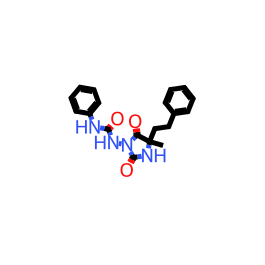 CC1(CCc2ccccc2)NC(=O)N(NC(=O)Nc2ccccc2)C1=O